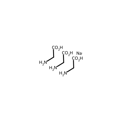 NCC(=O)O.NCC(=O)O.NCC(=O)O.[Na]